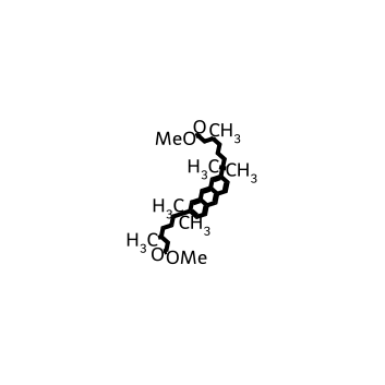 COC(=O)CC(C)CCCC(C)(C)c1ccc2cc3ccc(C(C)(C)CCCC(C)CC(=O)OC)cc3cc2c1